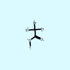 CCC(Br)(CC)C(=O)OF